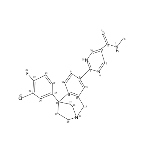 CNC(=O)c1cnc(-c2ccc3c(c2)CN2CCC3(c3ccc(F)c(Cl)c3)CC2)nc1